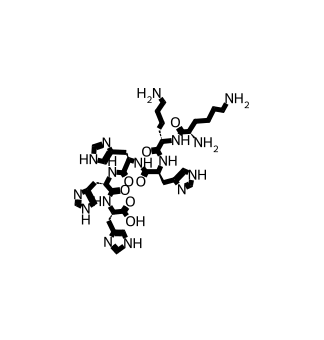 NCCCC[C@H](NC(=O)[C@@H](N)CCCCN)C(=O)N[C@@H](Cc1c[nH]cn1)C(=O)N[C@@H](Cc1c[nH]cn1)C(=O)N[C@@H](Cc1c[nH]cn1)C(=O)N[C@@H](Cc1c[nH]cn1)C(=O)O